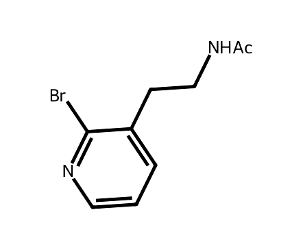 CC(=O)NCCc1cccnc1Br